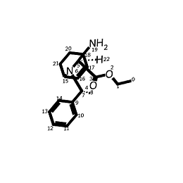 CCOC(=O)[C@H]1N([C@H](C)c2ccccc2)C2C=CC1(N)CC2